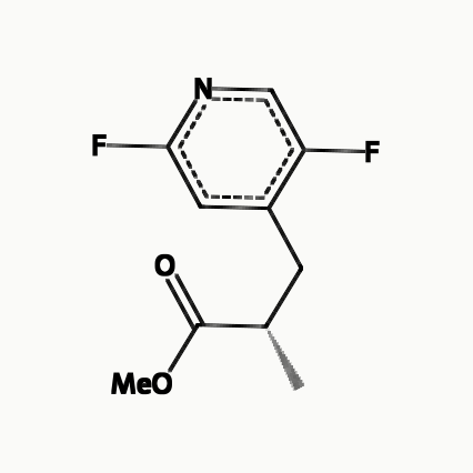 COC(=O)[C@@H](C)Cc1cc(F)ncc1F